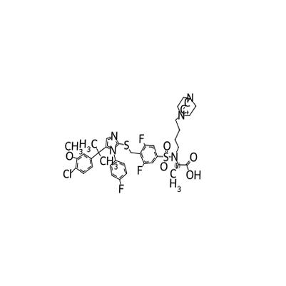 COc1cc(C(C)(C)c2cnc(SCc3c(F)cc(S(=O)(=O)N(CCCC[N+]45CCN(CC4)CC5)[C@H](C)C(=O)O)cc3F)n2-c2ccc(F)cc2)ccc1Cl